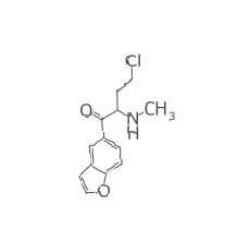 CNC(CCCl)C(=O)c1ccc2occc2c1